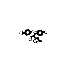 Cc1cc(C(C=O)=C(Nc2ccc(Cl)cc2)c2ccc(Cl)cc2)on1